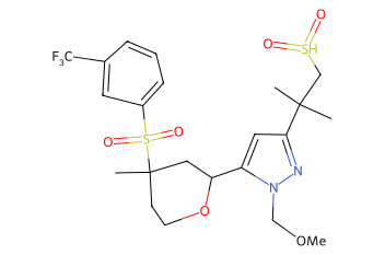 COCn1nc(C(C)(C)C[SH](=O)=O)cc1C1CC(C)(S(=O)(=O)c2cccc(C(F)(F)F)c2)CCO1